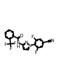 N#Cc1cc(F)c(-n2ccc(NC(=O)c3ccccc3C(F)(F)F)n2)c(F)c1